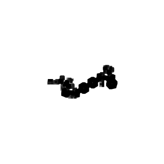 COC(=O)NC(C(=O)N1CCCC1c1nc(-c2ccc(-c3ccc(-c4cnc(C5c6ccccc6CN5C(=O)OC(C)(C)C)[nH]4)cc3)cc2)c[nH]1)C(C)C